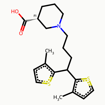 Cc1ccsc1C(CCCN1CCC[C@@H](C(=O)O)C1)c1sccc1C